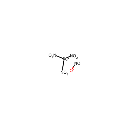 O=N[O-].O=[N+]([O-])[Ru+]([N+](=O)[O-])[N+](=O)[O-]